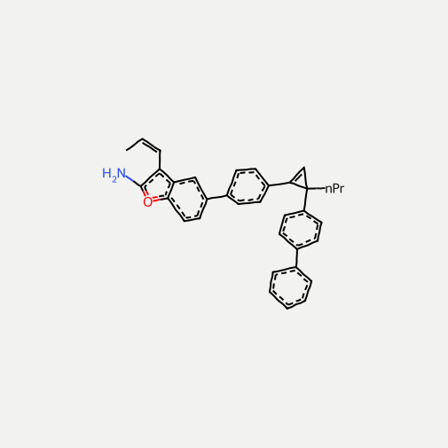 C/C=C\c1c(N)oc2ccc(-c3ccc(C4=CC4(CCC)c4ccc(-c5ccccc5)cc4)cc3)cc12